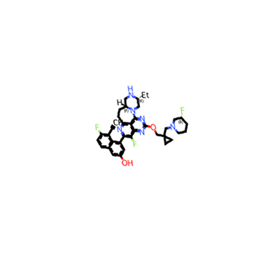 C#Cc1c(F)ccc2cc(O)cc(-c3nc4c5c(nc(OCC6(CN7CCC[C@@H](F)C7)CC6)nc5c3F)N3C[C@@H](CC)NC[C@H]3CC4)c12